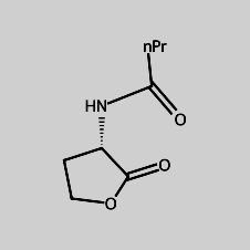 CCCC(=O)N[C@H]1CCOC1=O